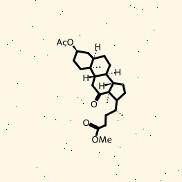 COC(=O)CC[C@@H](C)C1CC[C@H]2[C@@H]3CC[C@@H]4C[C@H](OC(C)=O)CC[C@]4(C)[C@H]3CC(=O)[C@]12C